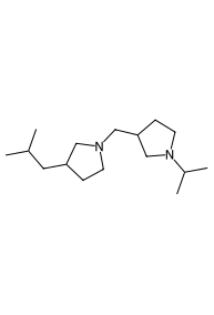 CC(C)CC1CCN(CC2CCN(C(C)C)C2)C1